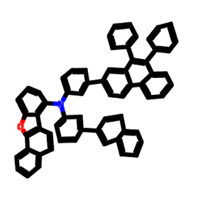 c1ccc(-c2c(-c3ccccc3)c3cc(-c4cccc(N(c5cccc(-c6ccc7ccccc7c6)c5)c5cccc6oc7c8ccccc8ccc7c56)c4)ccc3c3ccccc23)cc1